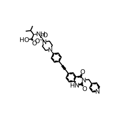 CC(C)[C@@H](NS(=O)(=O)N1CCN(c2ccc(C#Cc3ccc4[nH]c(=O)n(Cc5ccncc5)c(=O)c4c3)cc2)CC1)C(=O)O